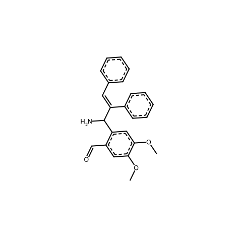 COc1cc(C=O)c(C(N)C(=Cc2ccccc2)c2ccccc2)cc1OC